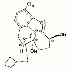 O[C@H]1CC[C@@]2(O)[C@H]3Cc4ccc(C(F)(F)F)c5c4[C@@]2(CCN3CC2CCC2)[C@H]1O5